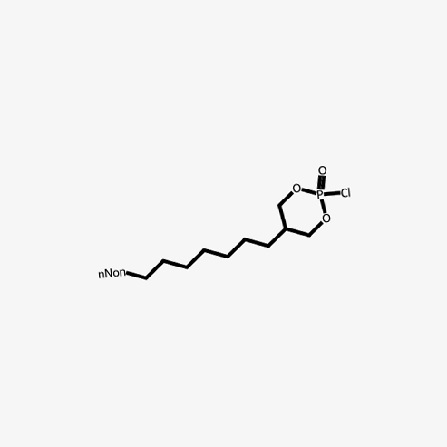 CCCCCCCCCCCCCCCCC1COP(=O)(Cl)OC1